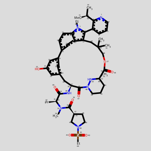 CCn1c(-c2cccnc2[C@H](C)OC)c2c3cc(ccc31)-c1cc(O)cc(c1)C[C@H](NC(=O)[C@H](C(C)C)N(C)C(=O)[C@H]1CCN(S(=O)(=O)CC)C1)C(=O)N1CCC[C@@](C)(N1)C(=O)OCC(C)(C)C2